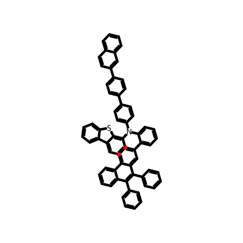 c1ccc(-c2c(-c3ccccc3)c3cc(-c4ccccc4N(c4ccc(-c5ccc(-c6ccc7ccccc7c6)cc5)cc4)c4cccc5c4sc4ccccc45)ccc3c3ccccc23)cc1